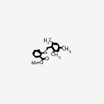 COC(=O)c1ccccc1SCc1c(C)cc(C)cc1C